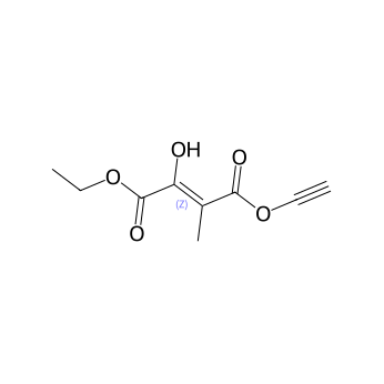 C#COC(=O)/C(C)=C(\O)C(=O)OCC